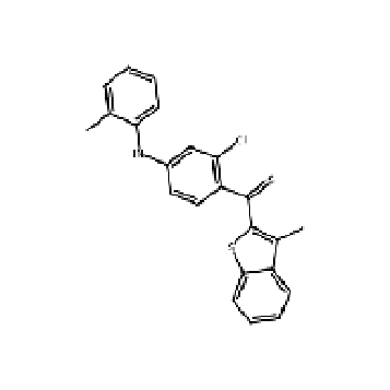 Cc1ccccc1Nc1ccc(C(=S)c2sc3ccccc3c2C)c(Cl)c1